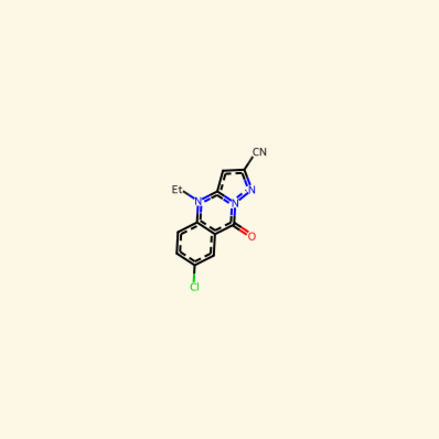 CCn1c2ccc(Cl)cc2c(=O)n2nc(C#N)cc12